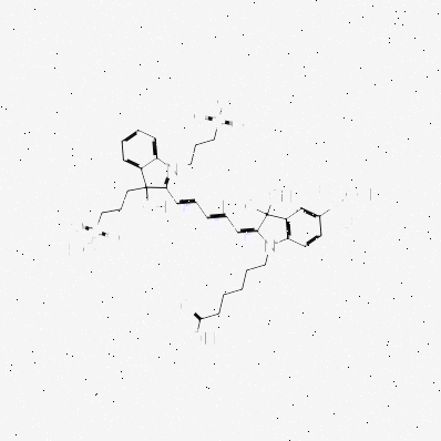 CC1(CCCS(=O)(=O)O)C(/C=C/C=C/C=C2/N(CCCCCC(=O)O)c3ccc(S(=O)(=O)O)cc3C2(C)C)=[N+](CCCS(=O)(=O)[O-])c2ccccc21